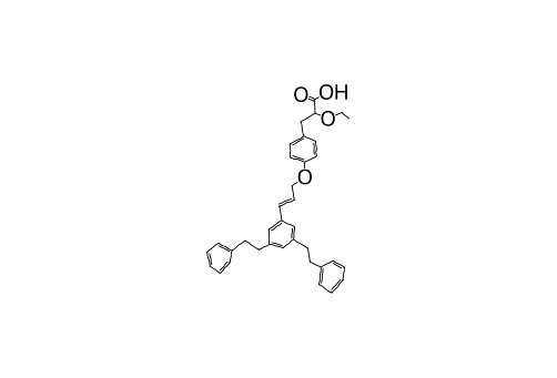 CCOC(Cc1ccc(OCC=Cc2cc(CCc3ccccc3)cc(CCc3ccccc3)c2)cc1)C(=O)O